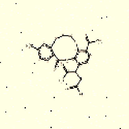 NC(=O)c1ccc([C@@H](CC(=O)O)C(=O)O)c2c1OCCCc1cc(N)ccc1C(=O)O2